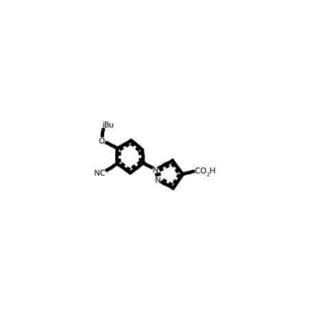 CCC(C)Oc1ccc(-n2cc(C(=O)O)cn2)cc1C#N